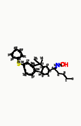 CCCCC(=NO)c1ccc2c(c1)C(C)(C)c1cc(Sc3ccccc3)ccc1-2